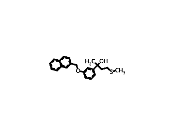 CSCCC(C)(O)c1cccc(OCc2ccc3ccccc3c2)c1